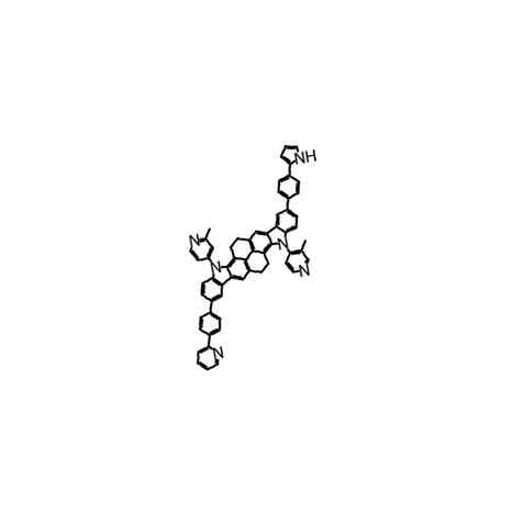 Cc1cc(-n2c3ccc(-c4ccc(-c5ccccn5)cc4)cc3c3cc4c5c(c32)CCc2cc3c6cc(-c7ccc(-c8ccc[nH]8)cc7)ccc6n(-c6ccncc6C)c3c(c2-5)CC4)ccn1